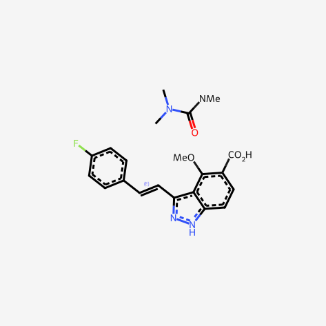 CNC(=O)N(C)C.COc1c(C(=O)O)ccc2[nH]nc(/C=C/c3ccc(F)cc3)c12